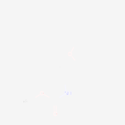 CC(C)(C)OC(=O)NC1(c2ccccc2OCc2ccccc2)CC1